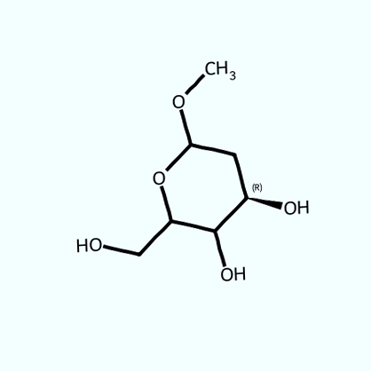 COC1C[C@@H](O)C(O)C(CO)O1